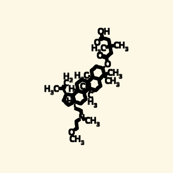 C=C(C)[C@@H]1CC[C@]2(CCN(C)CCOC)CC[C@]3(C)[C@H](CCC4[C@@]5(C)CC[C@H](OC(=O)CC(C)(C)CC(=O)O)C(C)(C)C5CC[C@]43C)[C@@H]12